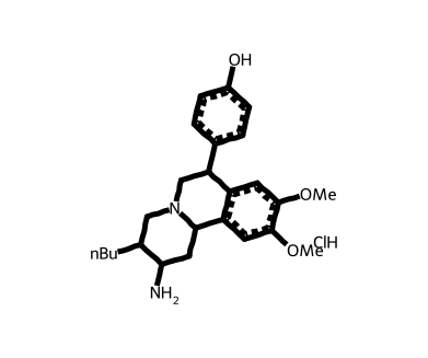 CCCCC1CN2CC(c3ccc(O)cc3)c3cc(OC)c(OC)cc3C2CC1N.Cl